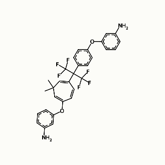 CC1(C)C=C(Oc2cccc(N)c2)C=CC(C(c2ccc(Oc3cccc(N)c3)cc2)(C(F)(F)F)C(F)(F)F)=C1